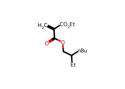 C=C(C(=O)OCC)C(=O)OCC(CC)CCCC